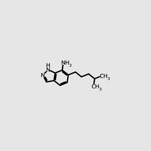 CC(C)CCCc1ccc2cn[nH]c2c1N